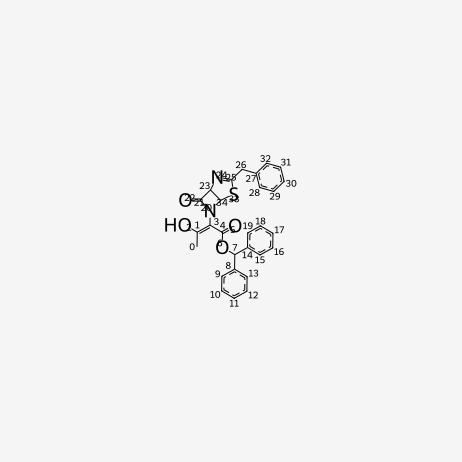 CC(O)=C(C(=O)OC(c1ccccc1)c1ccccc1)N1C(=O)C2N=C(Cc3ccccc3)SC21